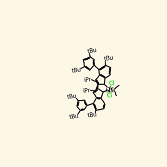 CC(C)CC1=Cc2c(ccc(C(C)(C)C)c2-c2cc(C(C)(C)C)cc(C(C)(C)C)c2)[CH]1[Zr]([Cl])([Cl])([CH]1C(CC(C)C)=Cc2c1ccc(C(C)(C)C)c2-c1cc(C(C)(C)C)cc(C(C)(C)C)c1)[SiH](C)C